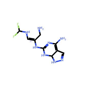 NC/C(=C\NC(F)F)NC1=NC(N)=C2C=NNC2N1